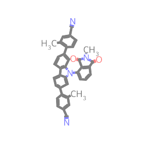 Cc1cc(C#N)ccc1-c1ccc2c3ccc(-c4ccc(C#N)cc4C)cc3n(-c3cccc4c3C(=O)N(C)C4=O)c2c1